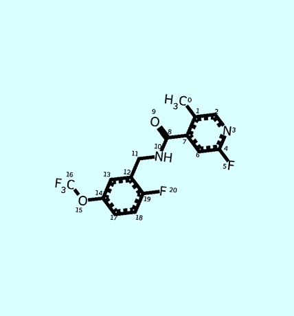 Cc1cnc(F)cc1C(=O)NCc1cc(OC(F)(F)F)ccc1F